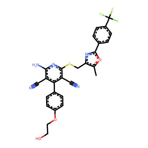 Cc1oc(-c2ccc(C(F)(F)F)cc2)nc1CSc1nc(N)c(C#N)c(-c2ccc(OCCO)cc2)c1C#N